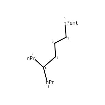 CCCCCCC[CH]C(CCC)CCC